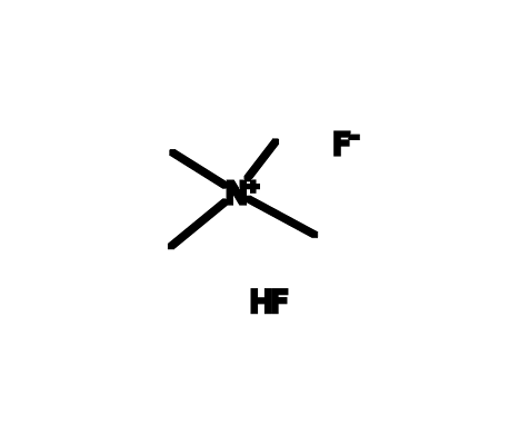 C[N+](C)(C)C.F.[F-]